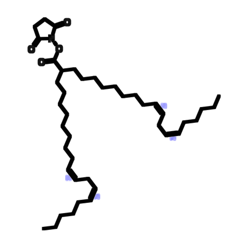 CCCCC/C=C\C/C=C\CCCCCCCCC(CCCCCCCC/C=C\C/C=C\CCCCC)C(=O)ON1C(=O)CCC1=O